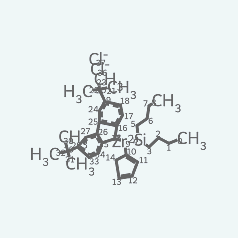 CCCC[Si](CCCC)=[Zr+2]([C]1=CC=CC1)[CH]1c2ccc(C(C)(C)C)cc2-c2cc(C(C)(C)C)ccc21.[Cl-].[Cl-]